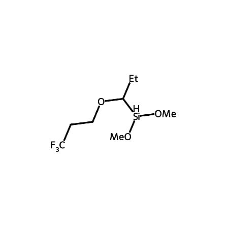 CCC(OCCC(F)(F)F)[SiH](OC)OC